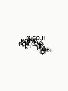 CC1(C(=O)N[C@@H](CC(=O)O)C(=O)COc2c(F)c(F)cc(F)c2F)CCN(C(=O)C(=O)Nc2ccccc2C(C)(C)C)CC1